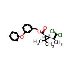 CC(=C(Cl)Cl)[C@@H]1[C@H](C(=O)OCc2cccc(Oc3ccccc3)c2)C1(C)C